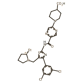 CC[C@@H]1CCCN1Cc1sc(NC(=O)c2cnc(N3CCC(C(=O)O)CC3)cn2)nc1-c1cc(Cl)cc(Cl)c1